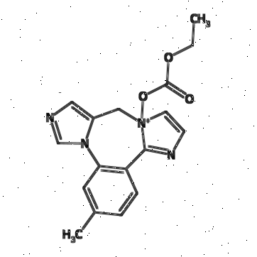 CCOC(=O)O[N+]12C=CN=C1c1ccc(C)cc1-n1cncc1C2